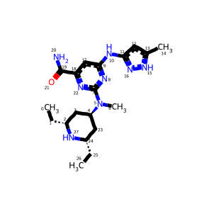 CC[C@@H]1C[C@@H](N(C)c2nc(Nc3cc(C)[nH]n3)cc(C(N)=O)n2)C[C@H](CC)N1